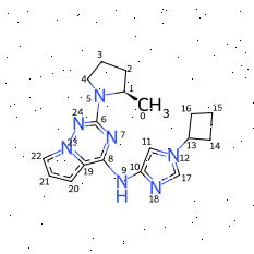 C[C@@H]1CCCN1c1nc(Nc2cn(C3CCC3)cn2)c2cccn2n1